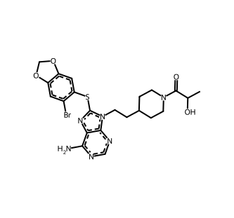 CC(O)C(=O)N1CCC(CCn2c(Sc3cc4c(cc3Br)OCO4)nc3c(N)ncnc32)CC1